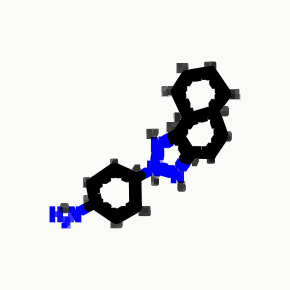 Nc1ccc(-n2nc3ccc4ccccc4c3n2)cc1